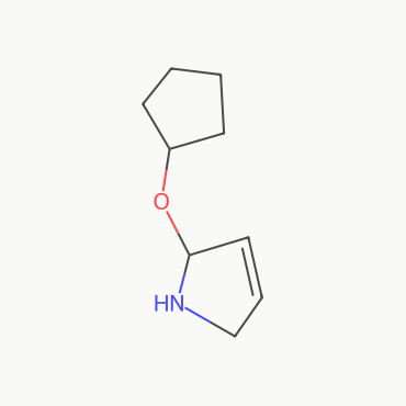 C1=CC(OC2CCCC2)NC1